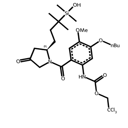 CCCCOc1cc(NC(=O)OCC(Cl)(Cl)Cl)c(C(=O)N2CC(=O)C[C@H]2CCC(C)(C)[Si](C)(C)O)cc1OC